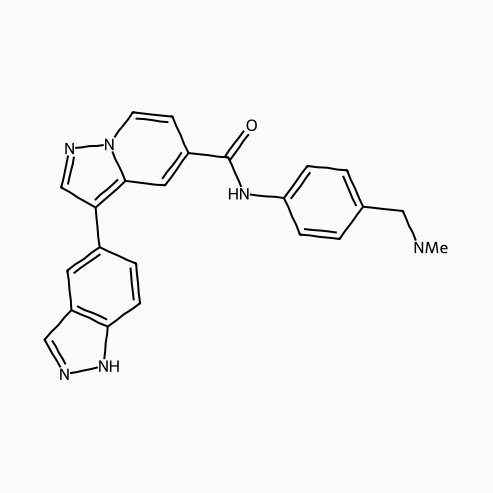 CNCc1ccc(NC(=O)c2ccn3ncc(-c4ccc5[nH]ncc5c4)c3c2)cc1